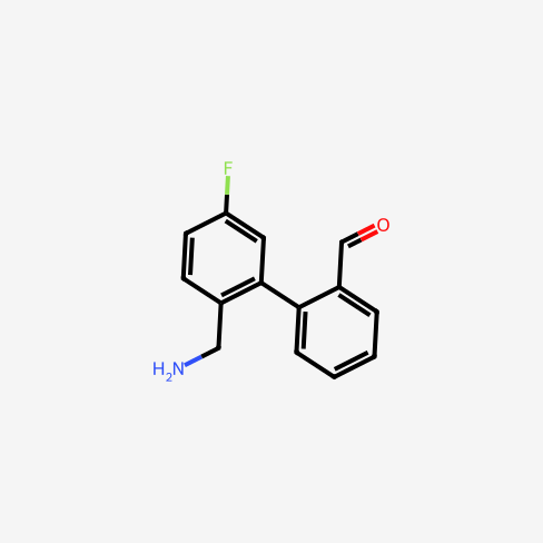 NCc1ccc(F)cc1-c1ccccc1C=O